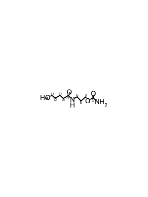 NC(=O)OCCCNC(=O)CCCCO